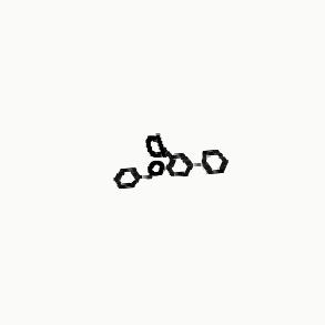 Clc1cc(-c2ccccc2)ccc1OCc1ccccc1